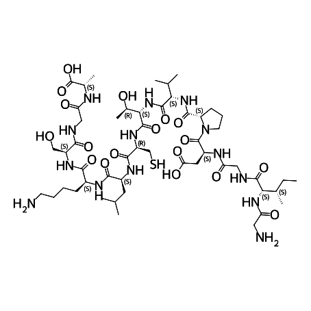 CC[C@H](C)[C@H](NC(=O)CN)C(=O)NCC(=O)N[C@@H](CC(=O)O)C(=O)N1CCC[C@H]1C(=O)N[C@H](C(=O)N[C@H](C(=O)N[C@@H](CS)C(=O)N[C@@H](CC(C)C)C(=O)N[C@@H](CCCCN)C(=O)N[C@@H](CO)C(=O)NCC(=O)N[C@@H](C)C(=O)O)[C@@H](C)O)C(C)C